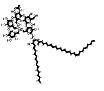 CCCCCCCC/C=C\CCCCCCCCCCCCCCCC(=O)N[C@@H](CO[C@@H]1OC(CO)[C@@H](O[C@@H]2OC(CO)[C@H](O)[C@H](O[C@@H]3OC(CO)[C@@H](O[C@@H]4OC(CO)[C@H](O[C@@H]5OC(CO)[C@H](O)[C@H](O)C5O)[C@H](O)C4O)[C@H](O)C3NC(C)=O)C2O)[C@H](O)C1O)[C@H](O)/C=C/CCCCCCCCCCCCC